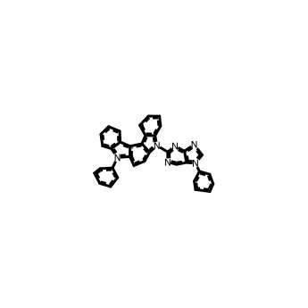 c1ccc(-n2cnc3nc(-n4c5ccccc5c5c6c7ccccc7n(-c7ccccc7)c6ccc54)ncc32)cc1